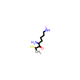 CC(S)C(=O)C(N)CCCCNI